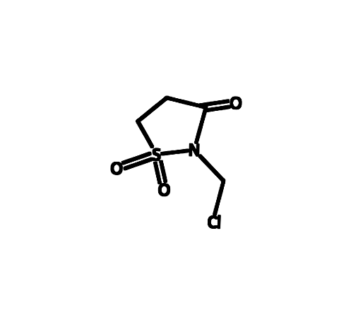 O=C1CCS(=O)(=O)N1CCl